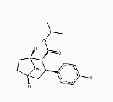 CC(C)OC(=O)[C@H]1[C@@H](c2ccc(I)cc2)C[C@@H]2CC[C@H]1N2C